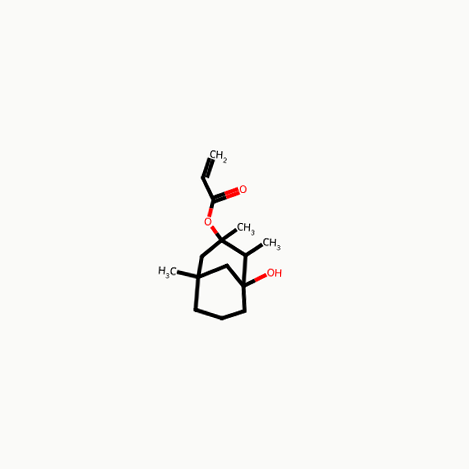 C=CC(=O)OC1(C)CC2(C)CCCC(O)(C2)C1C